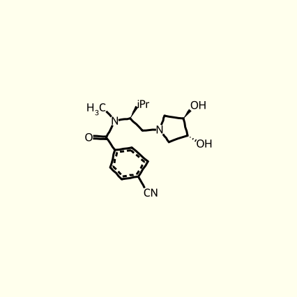 CC(C)[C@@H](CN1C[C@@H](O)[C@H](O)C1)N(C)C(=O)c1ccc(C#N)cc1